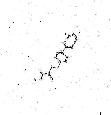 COC(=O)C(=O)CCc1ccc(-c2ccccc2)cc1